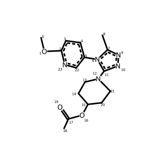 COc1ccc(-n2c(C)nnc2N2CCC(OC(C)=O)CC2)cn1